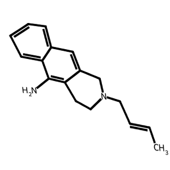 CC=CCN1CCc2c(cc3ccccc3c2N)C1